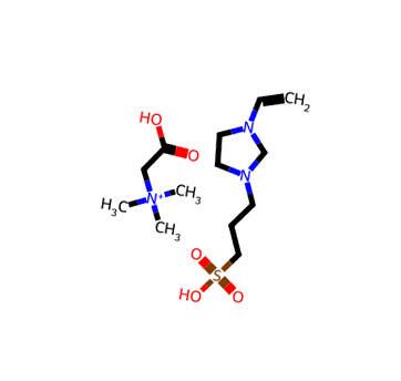 C=CN1CCN(CCCS(=O)(=O)O)C1.C[N+](C)(C)CC(=O)O